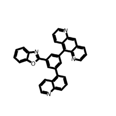 c1cnc2c(-c3cc(-c4nc5ccccc5o4)cc(-c4cccc5ncccc45)c3)c3cccnc3cc2c1